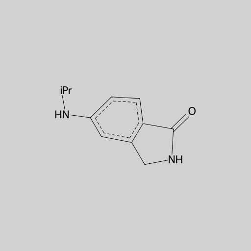 CC(C)Nc1ccc2c(c1)CNC2=O